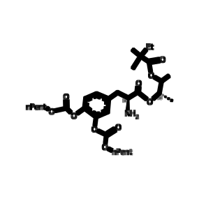 CCCCCOC(=O)Oc1ccc(C[C@H](N)C(=O)O[C@@H](C)C(C)OC(=O)C(C)(C)CC)cc1OC(=O)OCCCCC